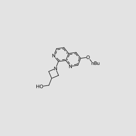 CCCCOc1cnc2c(N3CC(CO)C3)nccc2c1